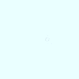 CCCCCCCCCCCc1nc(N(C)C)nc(CO)c1O